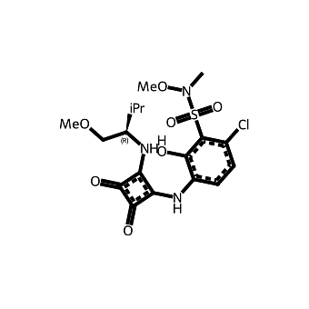 COC[C@H](Nc1c(Nc2ccc(Cl)c(S(=O)(=O)N(C)OC)c2O)c(=O)c1=O)C(C)C